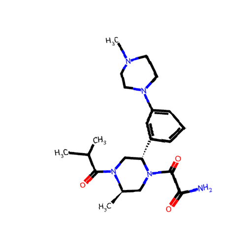 CC(C)C(=O)N1C[C@H](c2cccc(N3CCN(C)CC3)c2)N(C(=O)C(N)=O)C[C@H]1C